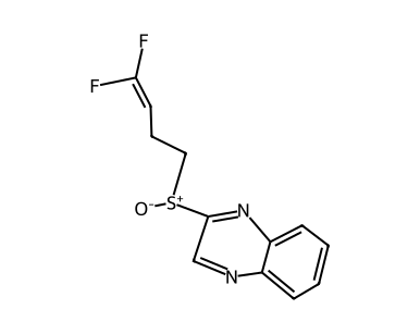 [O-][S+](CCC=C(F)F)c1cnc2ccccc2n1